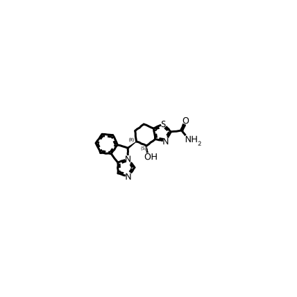 NC(=O)c1nc2c(s1)CC[C@H](C1c3ccccc3-c3cncn31)[C@@H]2O